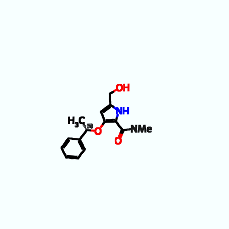 CNC(=O)c1[nH]c(CO)cc1O[C@@H](C)c1ccccc1